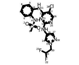 CS(=O)(=O)Nc1ccccc1Nc1nc(Nc2cnn(CC(F)F)c2)ncc1Cl